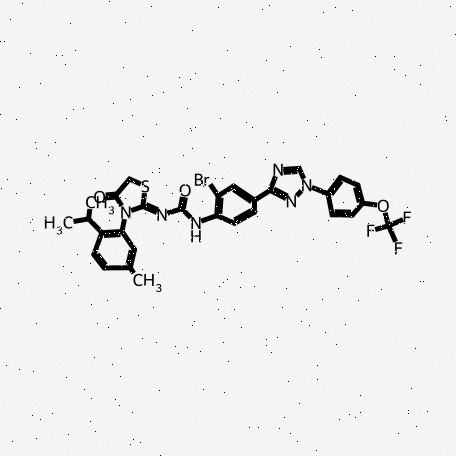 Cc1ccc(C(C)C)c(N2C(=O)CS/C2=N\C(=O)Nc2ccc(-c3ncn(-c4ccc(OC(F)(F)F)cc4)n3)cc2Br)c1